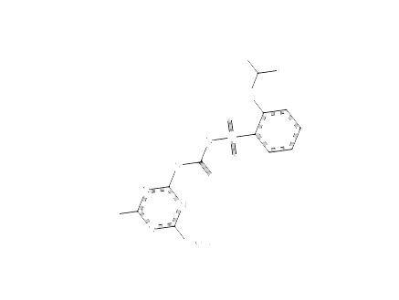 COc1nc(C)nc(NC(=O)NS(=O)(=O)c2ccccc2OC(F)F)n1